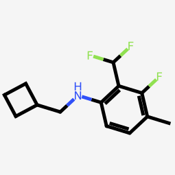 Cc1ccc(NCC2CCC2)c(C(F)F)c1F